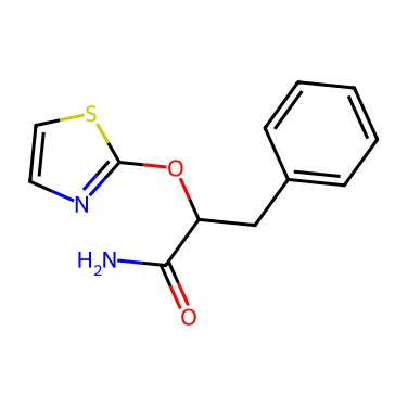 NC(=O)C(Cc1ccccc1)Oc1nccs1